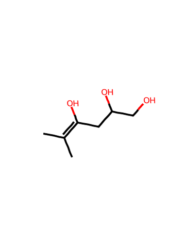 CC(C)=C(O)CC(O)CO